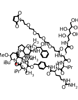 CC[C@H](C)[C@@H]([C@@H](CC(=O)N1CC[C@@H](C)C1[C@H](OC)[C@@H](C)C(=O)N[C@H](C)[C@@H](O)c1ccccc1)OC)N(C)C(=O)[C@@H](NC(=O)[C@H](C(C)C)N(C)C(=O)OCc1ccc(NC(=O)[C@H](CCCNC(N)=O)NC(=O)[C@@H](NC(=O)[C@@H](CCC(=O)NC[C@H](O)[C@@H](O)[C@H](O)[C@H](O)CO)NC(=O)CCOCCOCCOCCOCCN2C(=O)C=CC2=O)C(C)C)cc1)C(C)C